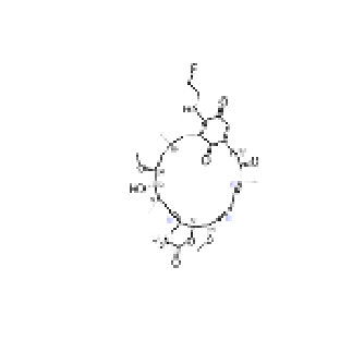 CO[C@H]1/C=C\C=C(/C)C(=O)NC2=CC(=O)C(NCCF)=C(C[C@@H](C)C[C@H](OC)[C@@H](O)[C@@H](C)/C=C(\C)[C@@H]1OC(N)=O)C2=O